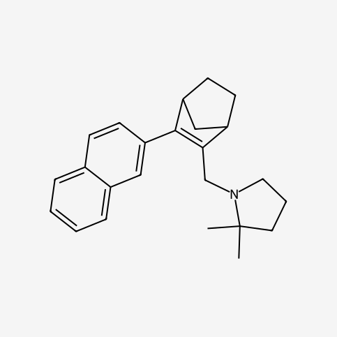 CC1(C)CCCN1CC1=C(c2ccc3ccccc3c2)C2CCC1C2